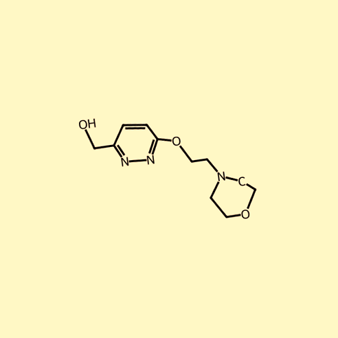 OCc1ccc(OCCN2CCOCC2)nn1